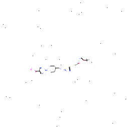 CC(C)(C)c1cnc(CSc2cnc(NCC3CCN(c4ncc(C(=O)NO)cn4)CC3)s2)o1